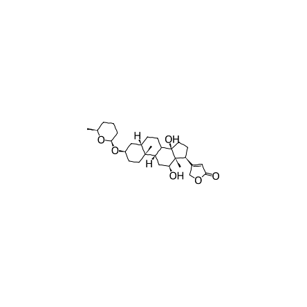 C[C@H]1CCC[C@@H](O[C@@H]2CC[C@]3(C)[C@@H](CCC4[C@@H]3C[C@H](O)[C@@]3(C)[C@H](C5=CC(=O)OC5)CC[C@@]43O)C2)O1